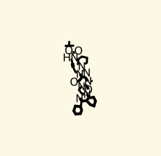 CC#CCn1c(N2CCC[C@@H](NC(=O)OC(C)(C)C)C2)nc2c1c(=O)n(Cc1nc(-c3ccccc3)c3ccccc3n1)c(=O)n2C